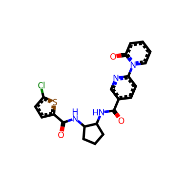 O=C(NC1CCCC1NC(=O)c1ccc(Cl)s1)c1ccc(-n2ccccc2=O)nc1